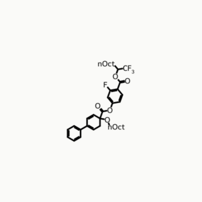 CCCCCCCCOC1(C(=O)Oc2ccc(C(=O)OC(CCCCCCCC)C(F)(F)F)c(F)c2)C=CC(c2ccccc2)=CC1